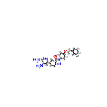 Nc1cnc(-c2cccc(C(=O)Nc3ccc(OCCc4ccccc4)cc3)c2)cc1N